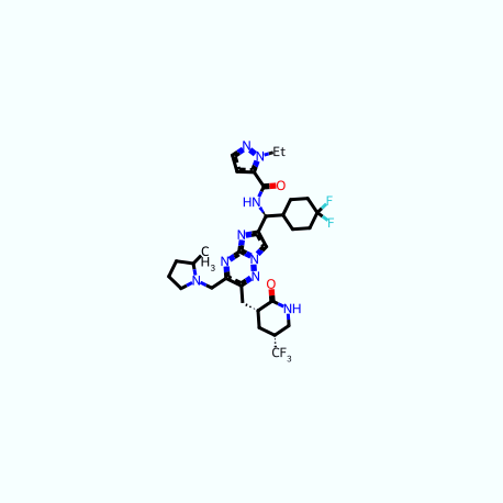 CCn1nccc1C(=O)N[C@H](c1cn2nc(C[C@H]3C[C@@H](C(F)(F)F)CNC3=O)c(CN3CCCC3C)nc2n1)C1CCC(F)(F)CC1